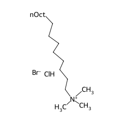 CCCCCCCCCCCCCCCC[N+](C)(C)C.Cl.[Br-]